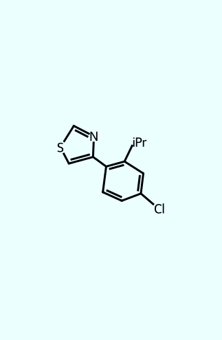 CC(C)c1cc(Cl)ccc1-c1cscn1